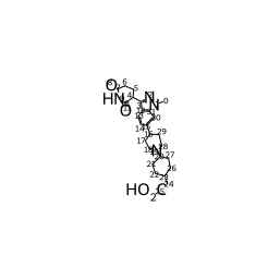 Cn1nc(C2CCC(=O)NC2=O)c2ccc(C3CCN([C@H]4CC[C@H](CC(=O)O)CC4)CC3)cc21